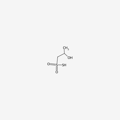 CC(O)CS(=O)(=O)S